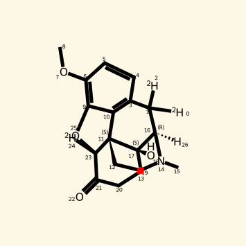 [2H]C1([2H])c2ccc(OC)c3c2[C@]24CCN(C)[C@H]1[C@]2(O)CCC(=O)C4([2H])O3